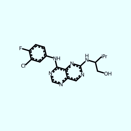 CC(C)C(CO)Nc1ncc2ncnc(Nc3ccc(F)c(Cl)c3)c2n1